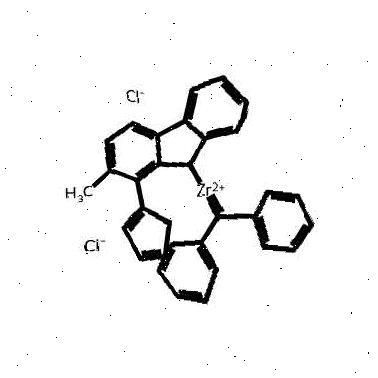 Cc1ccc2c(c1C1=CC=CC1)[CH]([Zr+2]=[C](c1ccccc1)c1ccccc1)c1ccccc1-2.[Cl-].[Cl-]